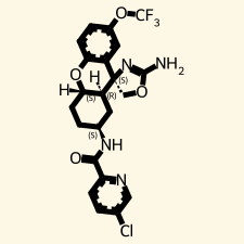 NC1=N[C@]2(CO1)c1cc(OC(F)(F)F)ccc1O[C@H]1CC[C@H](NC(=O)c3ccc(Cl)cn3)C[C@@H]12